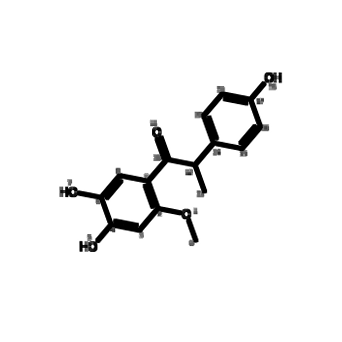 COc1cc(O)c(O)cc1C(=O)C(C)c1ccc(O)cc1